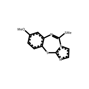 COc1ccc2c(c1)N=C(SC)n1ccnc1S2